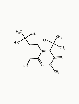 COC(=O)[C@@H](N(CCC(C)(C)C)C(=O)CN)C(C)(C)C